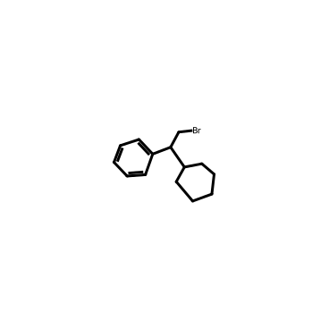 BrCC(c1ccccc1)C1CCCCC1